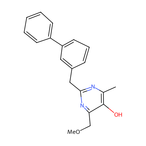 COCc1nc(Cc2cccc(-c3ccccc3)c2)nc(C)c1O